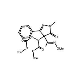 CON=C(C)C1(N(OC(=O)OC(C)(C)C)C(=O)OC(C)(C)C)C(=O)N(C)N=C1c1ccccc1